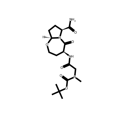 CN(CC(=O)N[C@H]1CCO[C@H]2CC[C@@H](C(N)=O)N2C1=O)C(=O)OC(C)(C)C